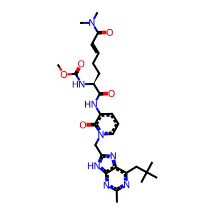 COC(=O)N[C@@H](CC/C=C/C(=O)N(C)C)C(=O)Nc1cccn(Cc2nc3c(CC(C)(C)C)nc(C)nc3[nH]2)c1=O